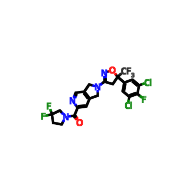 O=C(c1cc2c(cn1)CN(C1=NOC(c3cc(Cl)c(F)c(Cl)c3)(C(F)(F)F)C1)C2)N1CCC(F)(F)C1